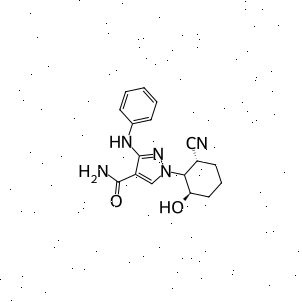 N#C[C@@H]1CCC[C@@H](O)C1n1cc(C(N)=O)c(Nc2ccccc2)n1